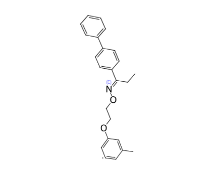 CC/C(=N\OCCOc1c[c]cc(C)c1)c1ccc(-c2ccccc2)cc1